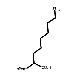 CCCCCC(CCCCCCN)C(=O)O